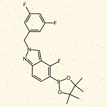 CC1(C)OB(c2ccc3nn(Cc4cc(F)cc(F)c4)cc3c2F)OC1(C)C